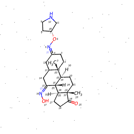 C[C@]12CC/C(=N\O[C@@H]3CCNC3)CC1C/C(=N/O)[C@@H]1[C@@H]2CC[C@]2(C)C(=O)CC[C@@H]12